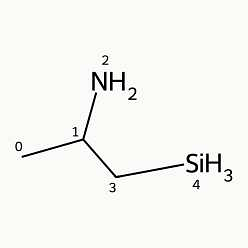 CC(N)C[SiH3]